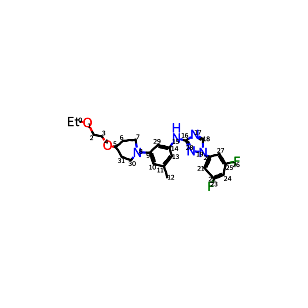 CCOCCOC1CCN(c2cc(C)cc(Nc3ncn(-c4cc(F)cc(F)c4)n3)c2)CC1